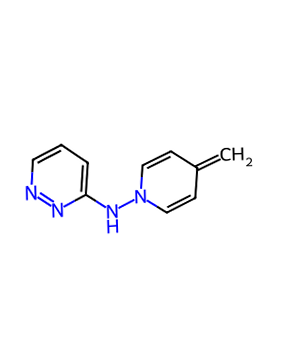 C=C1C=CN(Nc2cccnn2)C=C1